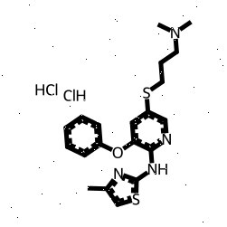 Cc1csc(Nc2ncc(SCCCN(C)C)cc2Oc2ccccc2)n1.Cl.Cl